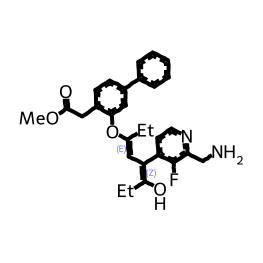 CC/C(O)=C(\C=C(/CC)Oc1cc(-c2ccccc2)ccc1CC(=O)OC)c1ccnc(CN)c1F